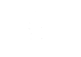 O=C(O)/C=C/C(=O)O.O=CC(=O)c1cnc2ccccc2c1